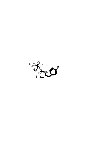 CC(C)(C)OC(=O)N[C@@H](CO)Cc1ccc(F)cc1